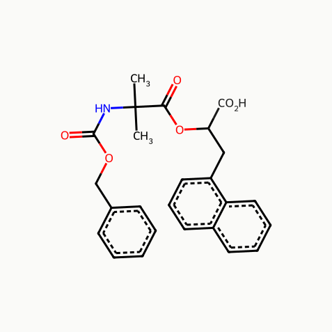 CC(C)(NC(=O)OCc1ccccc1)C(=O)OC(Cc1cccc2ccccc12)C(=O)O